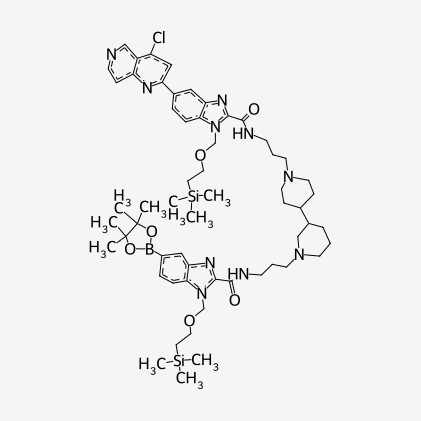 CC1(C)OB(c2ccc3c(c2)nc(C(=O)NCCCN2CCCC(C4CCN(CCCNC(=O)c5nc6cc(-c7cc(Cl)c8cnccc8n7)ccc6n5COCC[Si](C)(C)C)CC4)C2)n3COCC[Si](C)(C)C)OC1(C)C